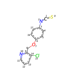 S=C=Nc1ccc(OCc2ncccc2Cl)cc1